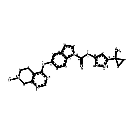 CCN1CCc2c(ncnc2Oc2ccc3c(ccn3C(=O)Nc3cc(C4(C)CC4)[nH]n3)c2)C1